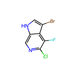 Fc1c(Cl)ncc2[nH]cc(Br)c12